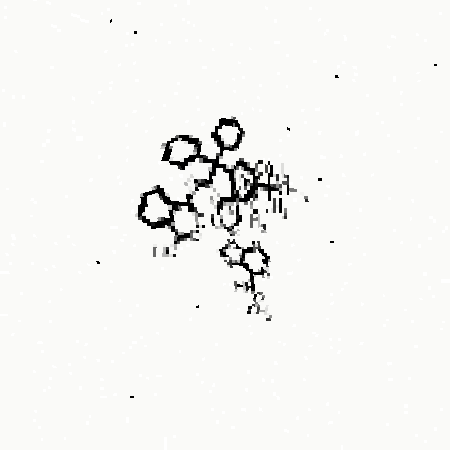 CONc1ncnc2c1ncn2[C@H]1C[C@H](O[Si](C)(C)C(C)(C)C)[C@@H](C(OC(=O)c2ccccc2C(=O)O)C(c2ccccc2)(c2ccccc2)c2ccccc2)O1